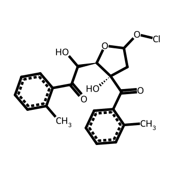 Cc1ccccc1C(=O)C(O)[C@H]1OC(OCl)C[C@@]1(O)C(=O)c1ccccc1C